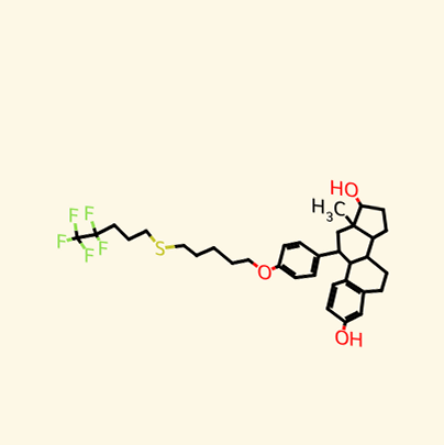 CC12CC(c3ccc(OCCCCCSCCCC(F)(F)C(F)(F)F)cc3)C3c4ccc(O)cc4CCC3C1CCC2O